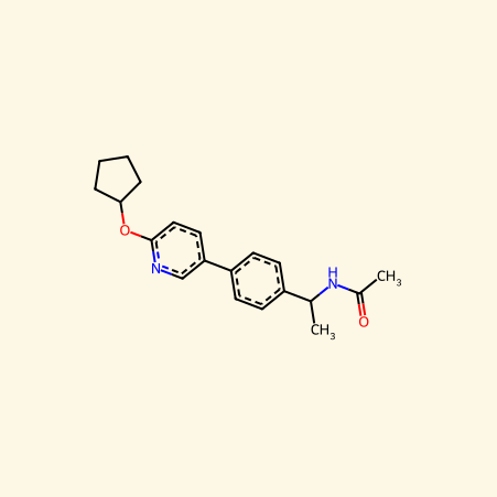 CC(=O)NC(C)c1ccc(-c2ccc(OC3CCCC3)nc2)cc1